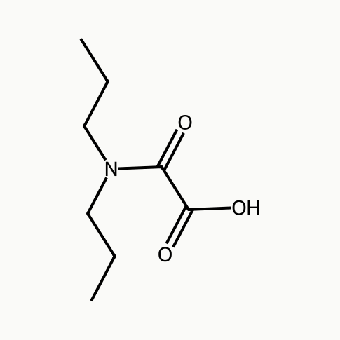 CCCN(CCC)C(=O)C(=O)O